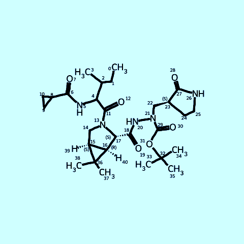 CCC(C)C(NC(=O)C1CC1)C(=O)N1C[C@H]2[C@@H]([C@H]1C(=O)NN(C[C@@H]1CCNC1=O)C(=O)OC(C)(C)C)C2(C)C